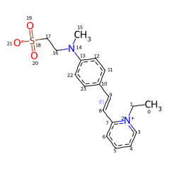 CC[n+]1ccccc1/C=C/c1ccc(N(C)CCS(=O)(=O)[O-])cc1